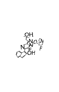 CC(C)(O)Cc1nc(OC[C@@]23CCCN2C[C@H](F)C3)nc2c(F)c(-c3c(O)ccc4ccccc34)ncc12